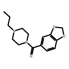 CCCN1CCN(C(=O)c2ccc3c(c2)OCO3)CC1